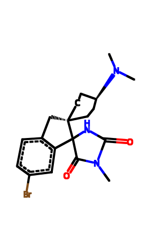 CN1C(=O)NC2(C1=O)c1cc(Br)ccc1C[C@]21CC[C@H](N(C)C)CC1